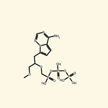 COCC(Cc1ccc2c(N)ncnn12)OCP(=O)(O)OP(=O)(O)OP(=O)(O)O